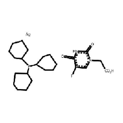 C1CCC(P(C2CCCCC2)C2CCCCC2)CC1.O=C(O)Cn1cc(F)c(=O)[nH]c1=O.[Ag]